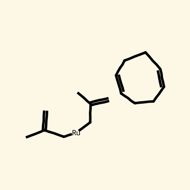 C1=CCCC=CCC1.C=C(C)[CH2][Ru][CH2]C(=C)C